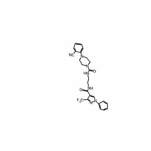 N#Cc1ccccc1N1CCN(C(=O)NCCNC(=O)c2cn(-c3ccccc3)nc2C(F)(F)F)CC1